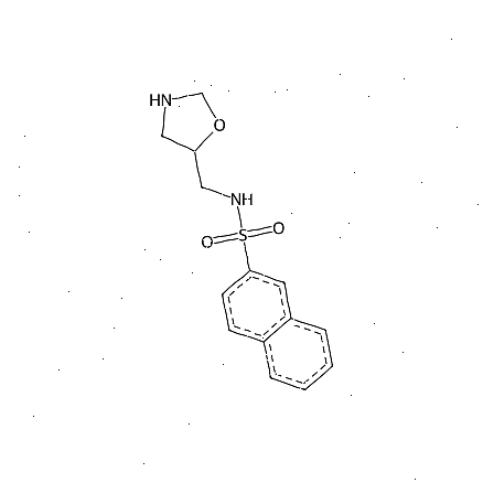 O=S(=O)(NCC1CNCO1)c1ccc2ccccc2c1